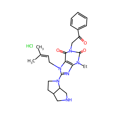 CCn1c(=O)n(CC(=O)c2ccccc2)c(=O)c2c1nc(N1CCC3CNCC31)n2CC=C(C)C.Cl